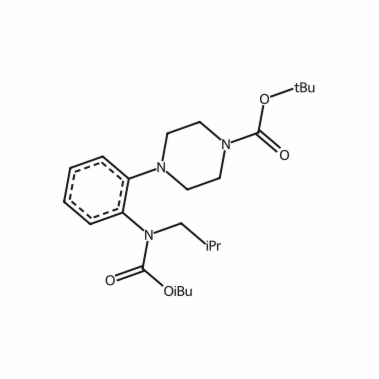 CC(C)COC(=O)N(CC(C)C)c1ccccc1N1CCN(C(=O)OC(C)(C)C)CC1